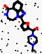 CN1CCN(C(=O)c2ccc(-c3nc4cccc5c4n3CCNC5=O)o2)CC1